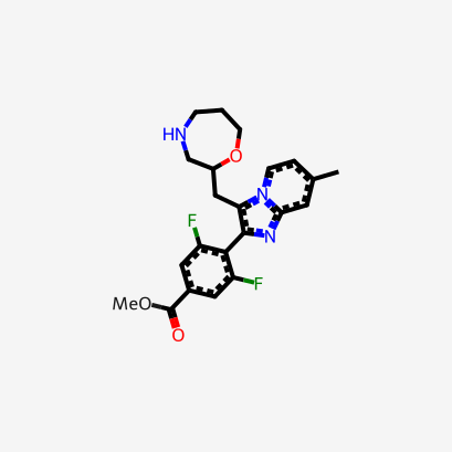 COC(=O)c1cc(F)c(-c2nc3cc(C)ccn3c2CC2CNCCCO2)c(F)c1